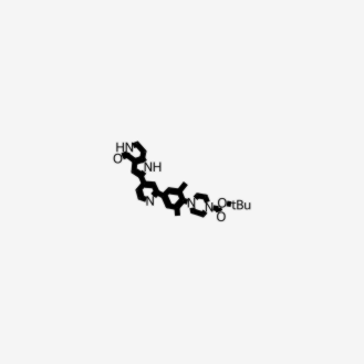 Cc1cc(-c2cc(-c3cc4c([nH]3)CCNC4=O)ccn2)cc(C)c1N1CCN(C(=O)OC(C)(C)C)CC1